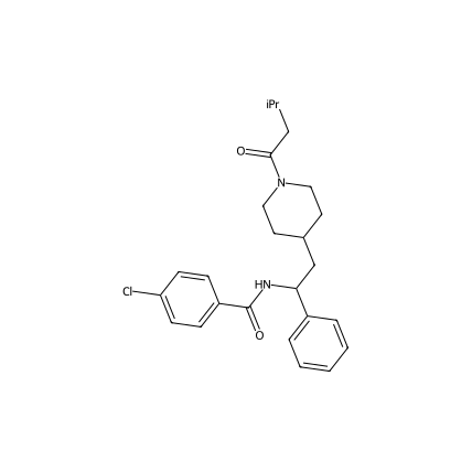 CC(C)CC(=O)N1CCC(CC(NC(=O)c2ccc(Cl)cc2)c2ccccc2)CC1